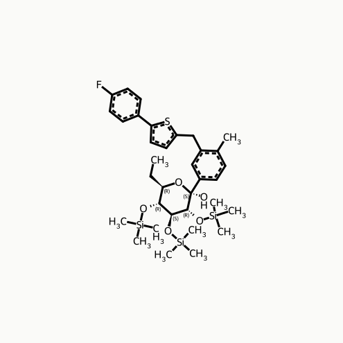 CC[C@H]1O[C@@](O)(c2ccc(C)c(Cc3ccc(-c4ccc(F)cc4)s3)c2)[C@H](O[Si](C)(C)C)[C@@H](O[Si](C)(C)C)[C@@H]1O[Si](C)(C)C